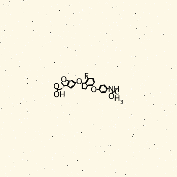 CC(=O)Nc1ccc(Oc2ccc(F)c3c2CC[C@H]3Oc2ccc3c(c2)OC[C@H]3CC(=O)O)cc1